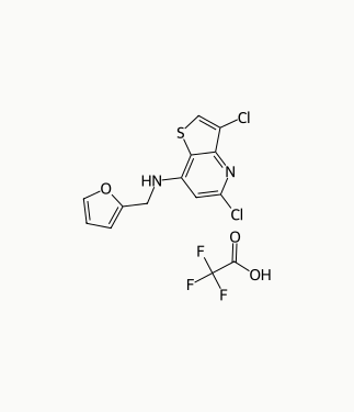 Clc1cc(NCc2ccco2)c2scc(Cl)c2n1.O=C(O)C(F)(F)F